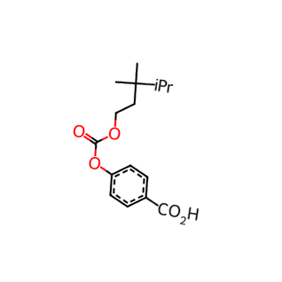 CC(C)C(C)(C)CCOC(=O)Oc1ccc(C(=O)O)cc1